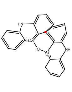 C1=CCC2=[AsH](O[AsH]3=C4CC=CC=C4Nc4ccccc43)c3ccccc3NC2=C1